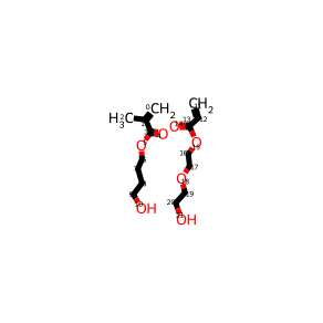 C=C(C)C(=O)OCCCCO.C=CC(=O)OCCOCCO